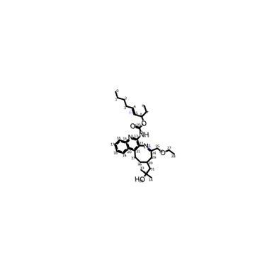 CCCC/C=C/C(CC)OC(=O)Nc1nc2ccccc2c2c1/N=C(/COCC)CC(CC(C)(C)O)CC2